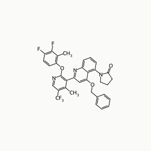 Cc1c(Oc2ncc(C(F)(F)F)c(C)c2-c2cc(OCc3ccccc3)c3c(N4CCCC4=O)cccc3n2)ccc(F)c1F